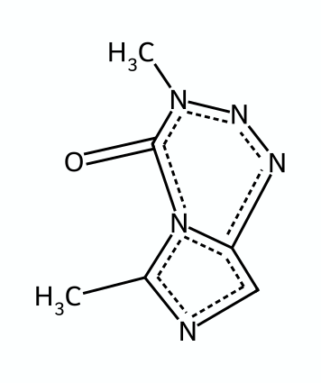 Cc1ncc2nnn(C)c(=O)n12